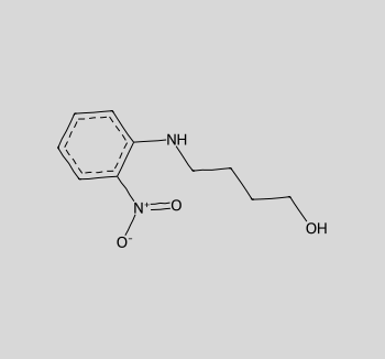 O=[N+]([O-])c1ccccc1NCCCCO